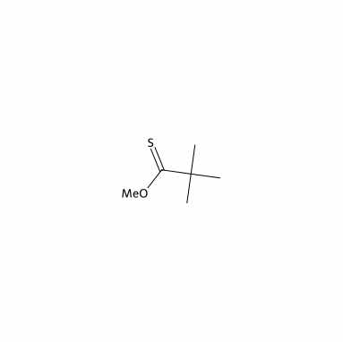 COC(=S)C(C)(C)C